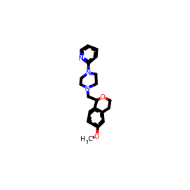 COc1ccc2c(c1)CCOC2CN1CCN(c2ccccn2)CC1